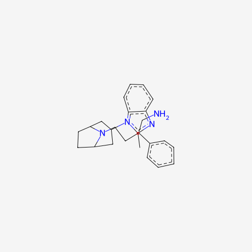 Cc1nc2ccccc2n1C1CC2CCC(C1)N2CCC(CN)c1ccccc1